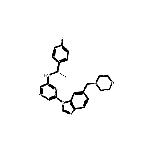 C[C@H](Nc1cncc(-n2cnc3ccc(CN4CCOCC4)cc32)n1)c1ccc(F)cc1